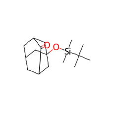 CC(C)(C)[Si](C)(C)OC12CC3CC(C1)C(=O)C(C3)C2